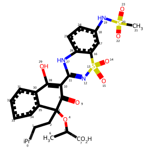 CC(C)CCC1(OC(C)C(=O)O)C(=O)C(C2=NS(=O)(=O)c3cc(NS(C)(=O)=O)ccc3N2)=C(O)c2ccccc21